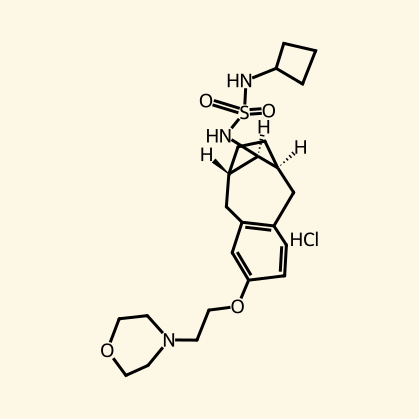 Cl.O=S(=O)(NC1CCC1)N[C@H]1[C@H]2CC[C@H]1Cc1cc(OCCN3CCOCC3)ccc1C2